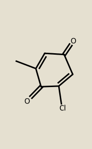 CC1=CC(=O)C=C(Cl)C1=O